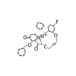 O=C1c2c(OCc3ccccc3)c(=O)ccn2N2CC1CC/C=C/COc1cc(F)ccc1[C@H]2c1ccccc1